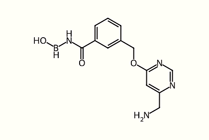 NCc1cc(OCc2cccc(C(=O)NBO)c2)ncn1